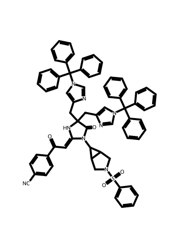 N#Cc1ccc(C(=O)C=C2NC(Cc3cn(C(c4ccccc4)(c4ccccc4)c4ccccc4)cn3)(Cc3cn(C(c4ccccc4)(c4ccccc4)c4ccccc4)cn3)C(=O)N2C2C3CN(S(=O)(=O)c4ccccc4)CC32)cc1